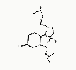 CC(C)CCN1CC(O)CCC1C1N(CCC(C)C)CCC1(F)F